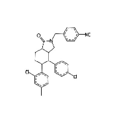 [C-]#[N+]c1ccc(CN2CC3C(CCC(c4ccc(C)cc4Cl)C3c3ccc(Cl)cc3)C2=O)cc1